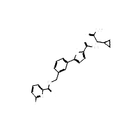 CNC(=O)[C@@H](NC(=O)c1ccc(-c2cccc(CNC(=O)c3cccc(Br)n3)c2)o1)C1CC1